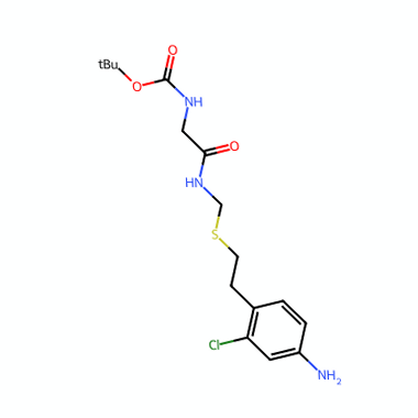 CC(C)(C)OC(=O)NCC(=O)NCSCCc1ccc(N)cc1Cl